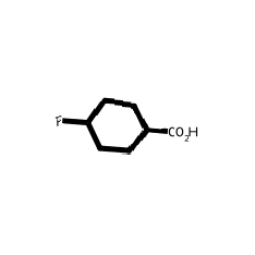 O=C(O)C1CCC(F)CC1